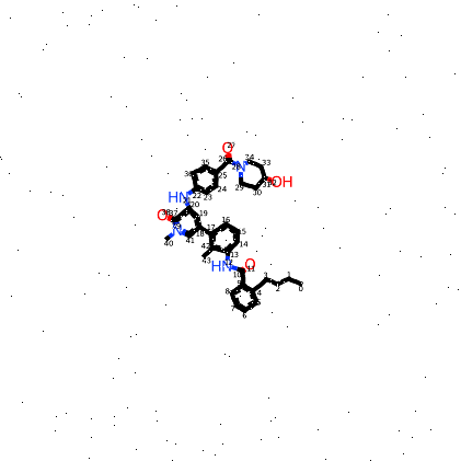 CCCCc1ccccc1C(=O)Nc1cccc(-c2cc(Nc3ccc(C(=O)N4CCC(O)CC4)cc3)c(=O)n(C)c2)c1C